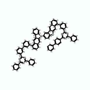 c1ccc(-c2ccc(-c3nc(-c4ccccc4)nc(-c4cccc(-c5cccc6cc7c(cc56)oc5ccc([SH]6c8ccccc8-c8cc9c(-c%10cccc(-c%11cccc(-c%12nc(-c%13ccccc%13)nc(-c%13ccccc%13)n%12)c%11)c%10)cccc9cc86)cc57)c4)n3)cc2)cc1